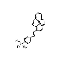 O=P(O)(O)c1ccc(OCc2ccc3ccc4cccc5ccc2c3c45)cc1